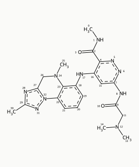 CNC(=O)c1nnc(NC(=O)CN(C)C)cc1Nc1cccc2c1N(C)Cc1nc(C)nn1-2